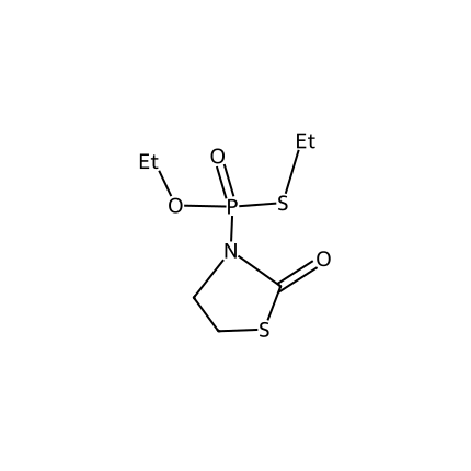 CCOP(=O)(SCC)N1CCSC1=O